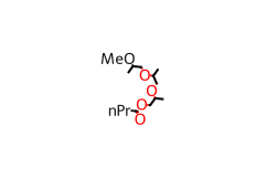 CCCC(=O)OCC(C)OCC(C)OCC(C)OC